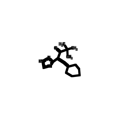 CC(C)(C)C(=O)C(=C=C1CCCCC1)c1nc[nH]n1